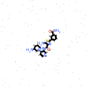 NC(=O)c1cccc(-c2nc(C(=O)Nc3cnccc3N3CCCC(N)C3)c(N)s2)c1